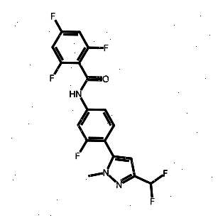 Cn1nc(C(F)F)cc1-c1ccc(NC(=O)c2c(F)cc(F)cc2F)cc1F